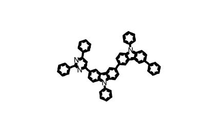 c1ccc(-c2ccc3c(c2)c2cc(-c4ccc5c(c4)c4cc(-c6cc(-c7ccccc7)nc(-c7ccccc7)n6)ccc4n5-c4ccccc4)ccc2n3-c2ccccc2)cc1